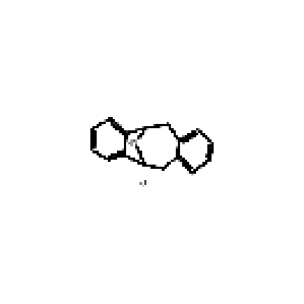 Cl.c1ccc2c(c1)CC1NC(C2)c2ccccc21